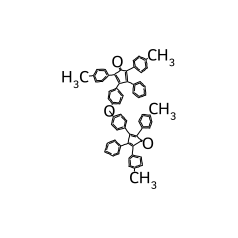 Cc1ccc(C2=C(c3ccccc3)C(c3ccc(Oc4ccc(C5=C(c6ccc(C)cc6)C(=O)C(c6ccc(C)cc6)=C5c5ccccc5)cc4)cc3)=C(c3ccc(C)cc3)C2=O)cc1